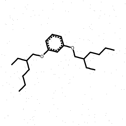 CCCCC(CC)COc1cccc(OCC(CC)CCCC)c1